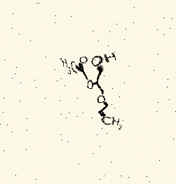 C=CCOCC(CO)OC(C)=O